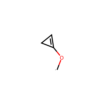 [CH2]OC1=CC1